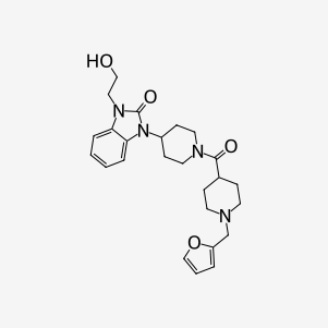 O=C(C1CCN(Cc2ccco2)CC1)N1CCC(n2c(=O)n(CCO)c3ccccc32)CC1